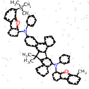 Cc1cccc2c1oc1c(N(c3ccccc3)c3cc4c(c5ccccc35)C(C)(C)c3c-4c4ccccc4c4cc(N(c5ccccc5)c5cccc6c5oc5c([Si](C)(C)C)cccc56)ccc34)cccc12